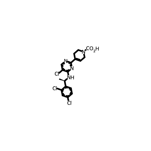 C[C@@H](Nc1nc(C2=CCN(C(=O)O)CC2)ncc1Cl)c1ccc(Cl)cc1Cl